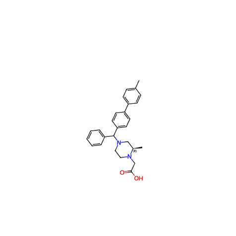 Cc1ccc(-c2ccc(C(c3ccccc3)N3CCN(CC(=O)O)[C@H](C)C3)cc2)cc1